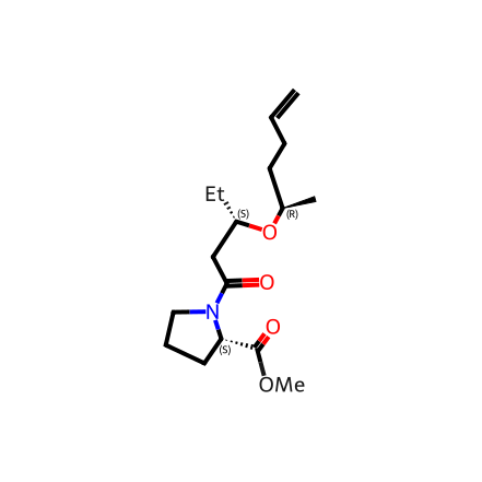 C=CCC[C@@H](C)O[C@@H](CC)CC(=O)N1CCC[C@H]1C(=O)OC